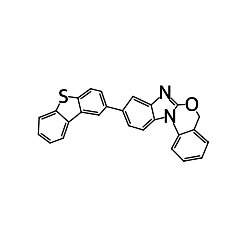 c1ccc2c(c1)COc1nc3cc(-c4ccc5sc6ccccc6c5c4)ccc3n1-2